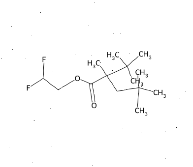 CC(C)(C)CC(C)(C(=O)OCC(F)F)C(C)(C)C